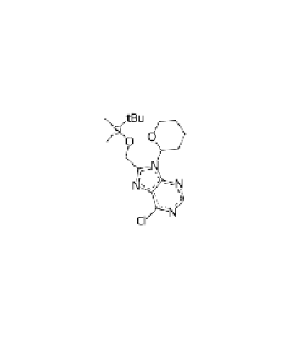 CC(C)(C)[Si](C)(C)OCc1nc2c(Cl)ncnc2n1C1CCCCO1